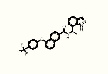 C[C@@H](NC(=O)c1ccc2c(Oc3ccc(C(F)(F)F)cc3)cccc2c1)c1cccc2cn[nH]c12